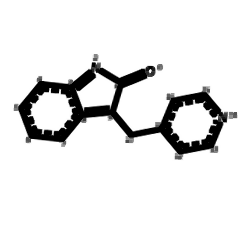 O=C1N=c2ccccc2=C1Cc1ccncc1